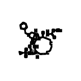 CC(C)(C)OC(=O)N[C@@H]1CCCCC/C=C\[C@H]2C[C@@]2(C(=O)NS(=O)(=O)C2CC2)NC(=O)[C@@H]2[C@H]3CN(Cc4ccccc4)C[C@H]3CN2C1=O